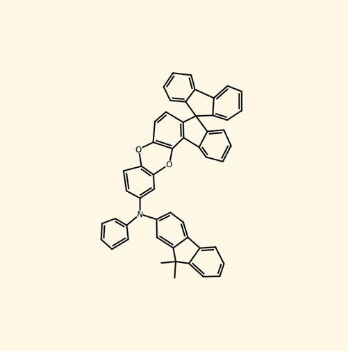 CC1(C)c2ccccc2-c2ccc(N(c3ccccc3)c3ccc4c(c3)Oc3c(ccc5c3-c3ccccc3C53c5ccccc5-c5ccccc53)O4)cc21